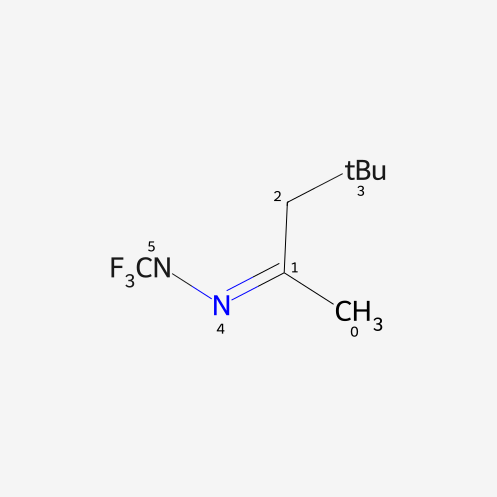 C/C(CC(C)(C)C)=N/NC(F)(F)F